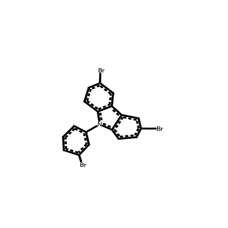 Brc1cccc(-n2c3ccc(Br)cc3c3cc(Br)ccc32)c1